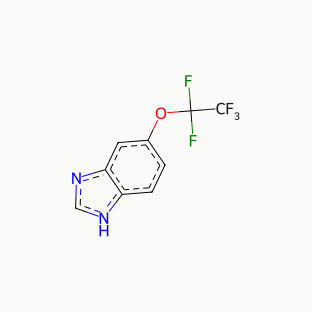 FC(F)(F)C(F)(F)Oc1ccc2[nH]cnc2c1